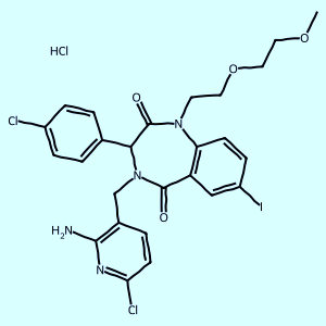 COCCOCCN1C(=O)C(c2ccc(Cl)cc2)N(Cc2ccc(Cl)nc2N)C(=O)c2cc(I)ccc21.Cl